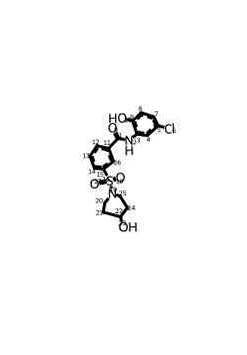 O=C(Nc1cc(Cl)ccc1O)c1cccc(S(=O)(=O)N2CCC(O)CC2)c1